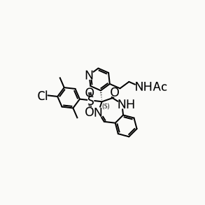 CC(=O)NCCc1ccncc1[C@@]1(S(=O)(=O)c2cc(C)c(Cl)cc2C)N=Cc2ccccc2NC1=O